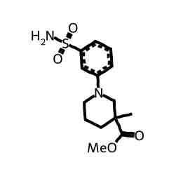 COC(=O)C1(C)CCCN(c2cccc(S(N)(=O)=O)c2)C1